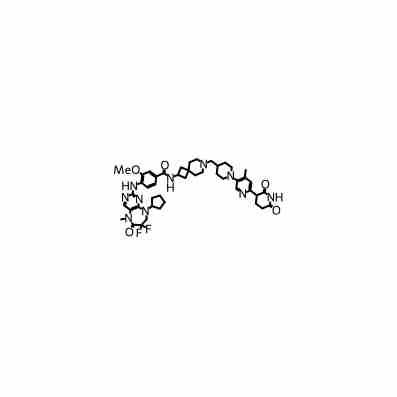 COc1cc(C(=O)NC2CC3(CCN(CC4CCN(c5cnc(C6CCC(=O)NC6=O)cc5C)CC4)CC3)C2)ccc1Nc1ncc2c(n1)N(C1CCCC1)CC(F)(F)C(=O)N2C